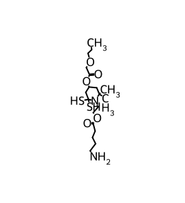 CCCOCC(=O)OC1CC(C)(C)N(CCOC(=O)CCCCN)C(S)(S)C1